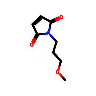 COCCCN1C(=O)C=CC1=O